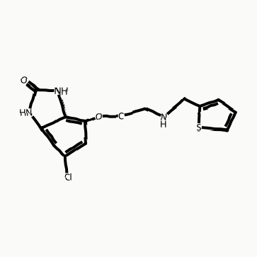 O=c1[nH]c2cc(Cl)cc(OCCNCc3cccs3)c2[nH]1